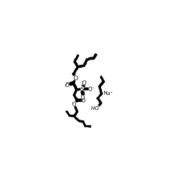 CCCCC(CC)COC(=O)CC(C(=O)OCC(CC)CCCC)S(=O)(=O)[O-].CCCCCCO.[Na+]